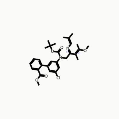 COC(=O)c1ccccc1-c1cc(Cl)cc(N(CC(=N/C=C(C)C)/C(C)=C(\C)OC)C(=O)OC(C)(C)C)c1